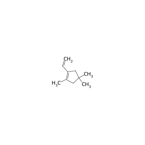 C=CC1=C(C)CC(C)(C)C1